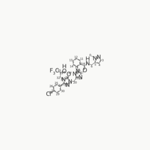 Cn1nccc1CNC(=O)c1ccccc1-n1cnc(Cn2nc(-c3ccc(Cl)cc3)n(CC(O)C(F)(F)F)c2=O)n1